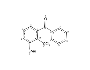 CSc1cccc(C(=O)c2ccccc2)c1C(Cl)(Cl)Cl